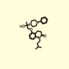 CC(C)CCN1C(=O)CCc2c(OCC(C)(O)N3CCN(c4ccccc4)CC3)cccc21